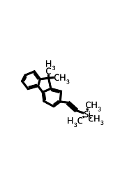 CC1(C)c2ccccc2-c2ccc(C#C[Si](C)(C)C)cc21